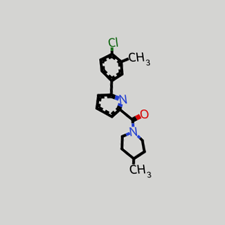 Cc1cc(-c2cccc(C(=O)N3CCC(C)CC3)n2)ccc1Cl